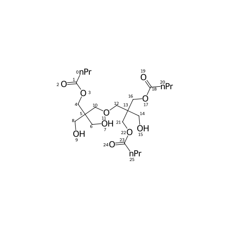 CCCC(=O)OCC(CO)(CO)COCC(CO)(COC(=O)CCC)COC(=O)CCC